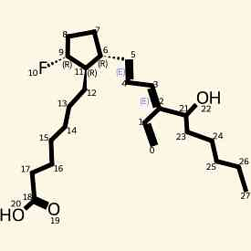 C=C/C(=C\C=C\[C@H]1CC[C@@H](F)[C@@H]1CCCCCCC(=O)O)C(O)CCCCC